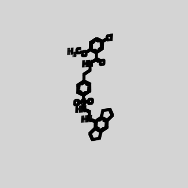 COc1ccc(Cl)cc1C(=O)NCCc1ccc(S(=O)(=O)NCNc2c3c(cc4c2CCC4)CCC3)cc1